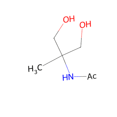 [CH2]C(=O)NC(C)(CO)CO